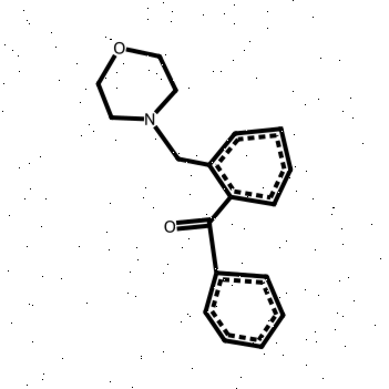 O=C(c1ccccc1)c1ccccc1CN1CCOCC1